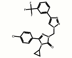 O=c1n(Cn2cc(-c3cccc(C(F)(F)F)c3)nn2)nc(-c2ccc(Cl)cc2)n1C1CC1